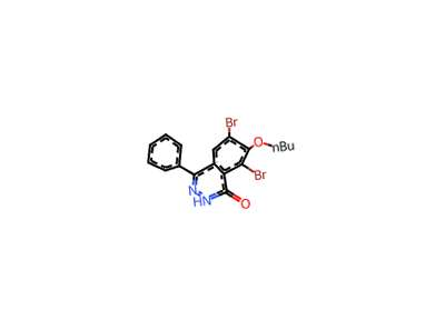 CCCCOc1c(Br)cc2c(-c3ccccc3)n[nH]c(=O)c2c1Br